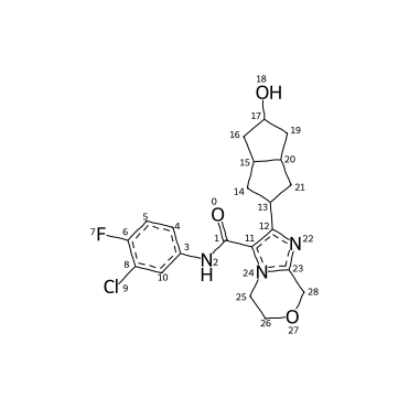 O=C(Nc1ccc(F)c(Cl)c1)c1c(C2CC3CC(O)CC3C2)nc2n1CCOC2